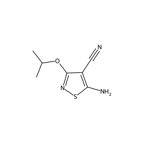 CC(C)Oc1nsc(N)c1C#N